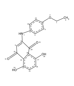 CCOc1ccc(NC2=CC(=O)c3c(O)ccc(O)c3C2=O)cc1